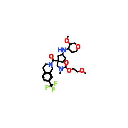 COCCOC(=O)N(C)C[C@]1(C(=O)N2CCc3ccc(C(F)(F)F)cc3C2)CCC(NC2CCOCC2OC)C1